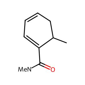 CNC(=O)C1=CC=CCC1C